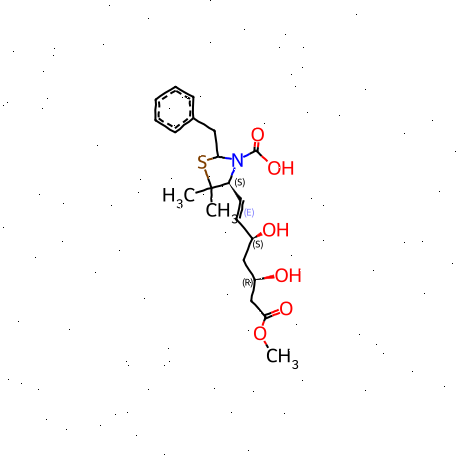 COC(=O)C[C@H](O)C[C@H](O)/C=C/[C@@H]1N(C(=O)O)C(Cc2ccccc2)SC1(C)C